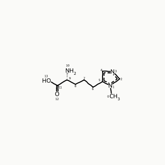 Cn1cncc1CCC[C@@H](N)C(=O)O